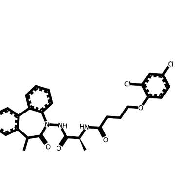 CC1C(=O)N(NC(=O)[C@H](C)NC(=O)CCCOc2ccc(Cl)cc2Cl)c2ccccc2-c2ccccc21